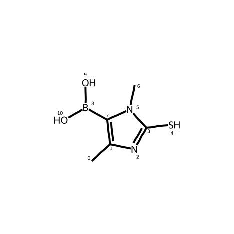 Cc1nc(S)n(C)c1B(O)O